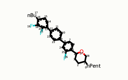 CCCCCC1CCC(c2ccc(-c3ccc(-c4ccc(CCCC)c(F)c4F)cc3)cc2F)OC1